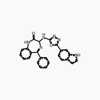 O=C1Nc2ccccc2C(c2ccccc2)=NC1Nc1nnc(-c2ccc3cc[nH]c3c2)o1